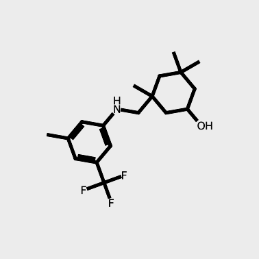 Cc1cc(NCC2(C)CC(O)CC(C)(C)C2)cc(C(F)(F)F)c1